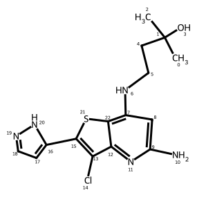 CC(C)(O)CCNc1cc(N)nc2c(Cl)c(-c3ccn[nH]3)sc12